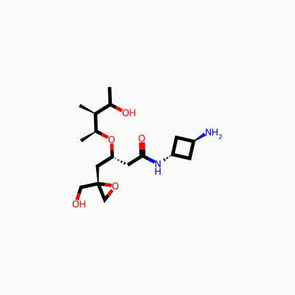 CC(O)[C@H](C)[C@H](C)O[C@H](CC(=O)N[C@H]1C[C@H](N)C1)C[C@]1(CO)CO1